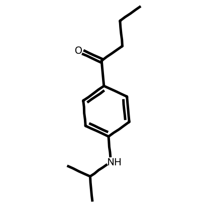 CCCC(=O)c1ccc(NC(C)C)cc1